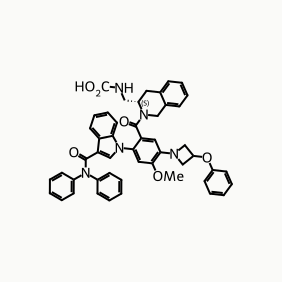 COc1cc(-n2cc(C(=O)N(c3ccccc3)c3ccccc3)c3ccccc32)c(C(=O)N2Cc3ccccc3C[C@H]2CNC(=O)O)cc1N1CC(Oc2ccccc2)C1